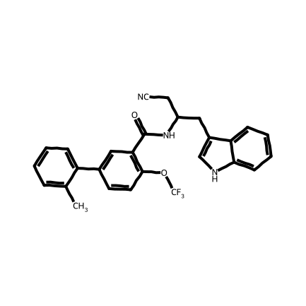 Cc1ccccc1-c1ccc(OC(F)(F)F)c(C(=O)NC(CC#N)Cc2c[nH]c3ccccc23)c1